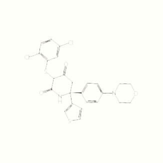 O=C1C[C@](c2ccc(N3CCOCC3)cc2)(c2ccsc2)NC(=O)C1Sc1cc(Cl)ccc1Cl